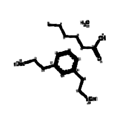 CCCCCC(=O)O.CCCCCCCCCCCCc1cccc(CCCCCCCCCCCC)c1.O